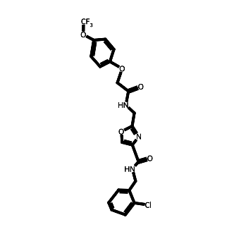 O=C(COc1ccc(OC(F)(F)F)cc1)NCc1nc(C(=O)NCc2ccccc2Cl)co1